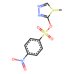 C[SH]1C=NN=C1OS(=O)(=O)c1ccc([N+](=O)[O-])cc1